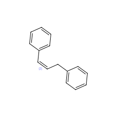 C(=C/c1ccccc1)/Cc1ccccc1